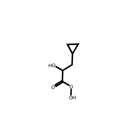 O=C(OO)C(O)CC1CC1